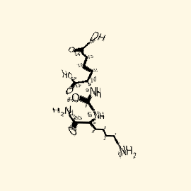 NCCCCC(NC(=O)N[C@@H](C=CCC(=O)O)C(=O)O)C(N)=O